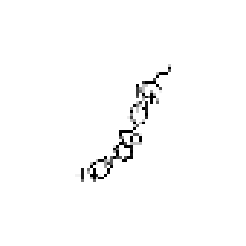 CCCc1cnc(N2CCC(C3Cc4cc(N5CCNCC5)ccc4O3)CC2)nc1